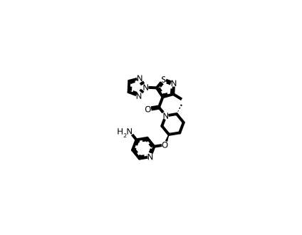 Cc1nsc(-n2nccn2)c1C(=O)N1C[C@H](Oc2cc(N)ccn2)CC[C@H]1C